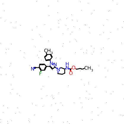 CCCCOC(=O)NC1CCCN(c2cc(-c3ccc(C#N)c(F)c3)n(-c3ccc(C)cc3)n2)C1